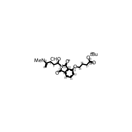 C=C(CCC(C=O)N1C(=O)c2cccc(OCCCC(=O)OC(C)(C)C)c2C1=O)NC